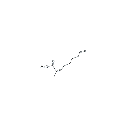 C=CCCCC/C=C(/C)C(=O)OC